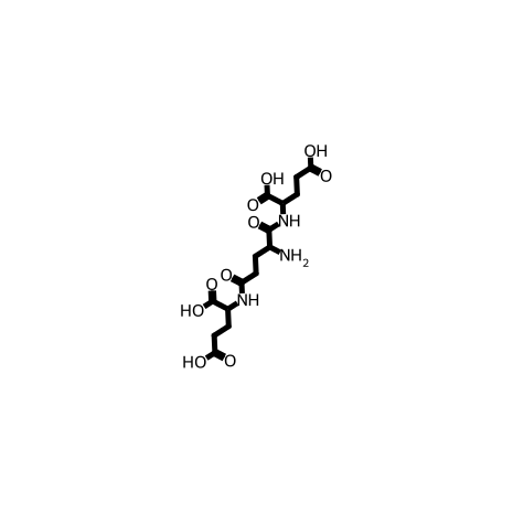 NC(CCC(=O)NC(CCC(=O)O)C(=O)O)C(=O)NC(CCC(=O)O)C(=O)O